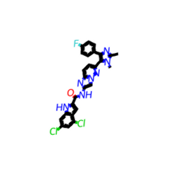 Cc1nc(-c2ccc(F)cc2)c(-c2ccc3nc(NC(=O)c4cc5c(Cl)cc(Cl)cc5[nH]4)cn3n2)n1C